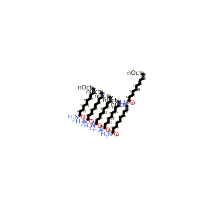 CCCCCCCC/C=C\CCCCCCCC(N)=O.CCCCCCCC/C=C\CCCCCCCC(N)=O.CCCCCCCC/C=C\CCCCCCCC(N)=O.CCCCCCCC/C=C\CCCCCCCC(N)=O.CCCCCCCC/C=C\CCCCCCCC(N)=O.CCCCCCCC/C=C\CCCCCCCC(N)=O